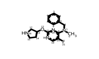 CN(Cc1ccccc1)c1nc(OC2CCNC2)ncc1F